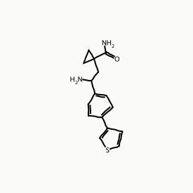 NC(=O)C1(CC(N)c2ccc(-c3ccsc3)cc2)CC1